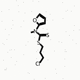 CN(C(=S)SCCCCl)c1ccco1